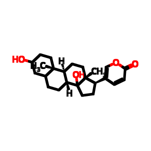 C[C@]12CCC(O)CC1CC[C@@H]1[C@@H]2CC[C@]2(C)[C@@H](c3ccc(=O)oc3)CCC12O